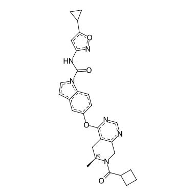 C[C@H]1Cc2c(ncnc2Oc2ccc3c(ccn3C(=O)Nc3cc(C4CC4)on3)c2)CN1C(=O)C1CCC1